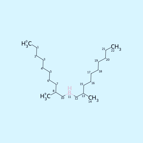 CCCCCCCCC(C)CBCC(C)CCCCCCCC